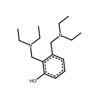 CCN(CC)Cc1cccc(O)c1CN(CC)CC